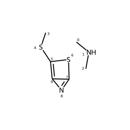 CNC.CSc1sc2nc1-2